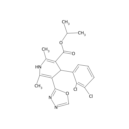 CC1=C(C(=O)OC(C)C)C(c2cccc(Cl)c2Cl)C(c2nnco2)=C(C)N1